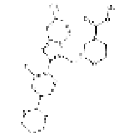 Cc1ccn2c(C[C@@H]3CN(C(=O)OC(C)(C)C)CCO3)c(-c3ccc(C4OCCCO4)cc3F)nc2c1